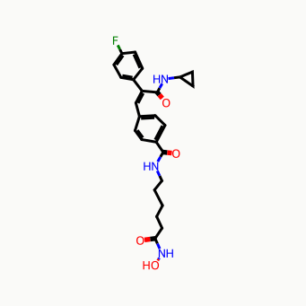 O=C(CCCCCNC(=O)c1ccc(/C=C(\C(=O)NC2CC2)c2ccc(F)cc2)cc1)NO